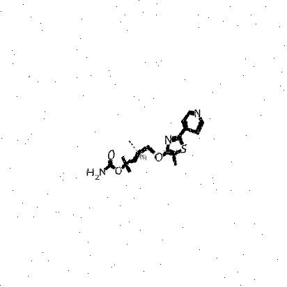 Cc1sc(-c2ccncc2)nc1OC[C@@H](C)CC(C)(C)OC(N)=O